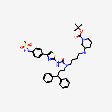 CC(C)(C)OC(=O)N1CCCC(NCCCCN(CCC(c2ccccc2)c2ccccc2)C(=O)Nc2nc(-c3ccc(NS(C)(=O)=O)cc3)cs2)C1